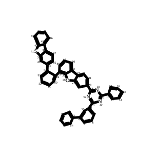 c1ccc(-c2cccc(-c3nc(-c4ccccc4)nc(-c4ccc5c(c4)oc4c(-c6ccccc6-c6ccc7c(c6)sc6ccccc67)cccc45)n3)c2)cc1